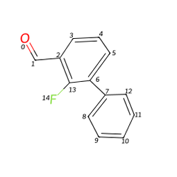 O=Cc1cccc(-c2ccccc2)c1F